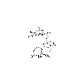 C=C1NC(=O)C=CN1[C@@H]1O[C@](CF)(COP(=O)(O)OP(=O)(O)OP(=O)(O)O)[C@@H](O)[C@H]1Cl